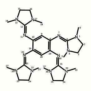 CN1CCN(C)C1=Nc1cc(N=C2N(C)CCN2C)c(N=C2N(C)CCN2C)cc1N=C1N(C)CCN1C